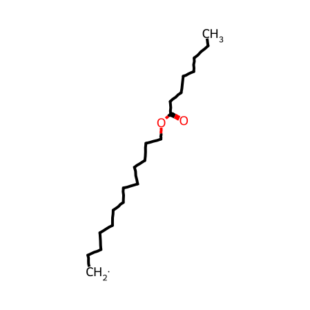 [CH2]CCCCCCCCCCCCOC(=O)CCCCCCC